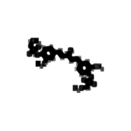 CCS(=O)(=O)Oc1ccc(/C=C/C(=O)/C=C/c2ccc(OS(=O)(=O)CC)c(C)c2)cc1C